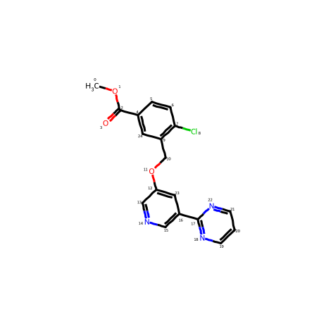 COC(=O)c1ccc(Cl)c(COc2cncc(-c3ncccn3)c2)c1